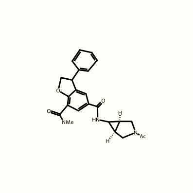 CNC(=O)c1cc(C(=O)NC2[C@H]3CN(C(C)=O)C[C@@H]23)cc2c1OCC2c1ccccc1